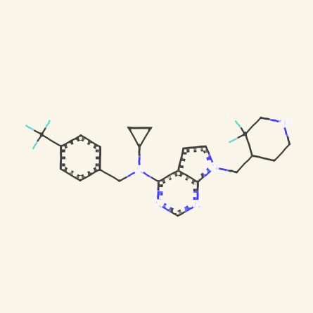 Cl.FC(F)(F)c1ccc(CN(c2ncnc3c2ccn3CC2CCNCC2(F)F)C2CC2)cc1